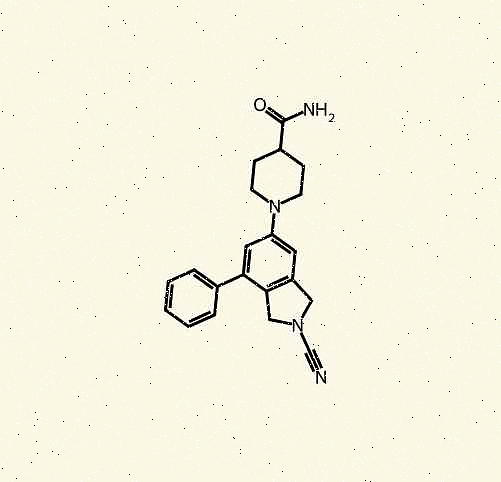 N#CN1Cc2cc(N3CCC(C(N)=O)CC3)cc(-c3ccccc3)c2C1